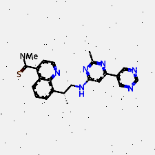 CNC(=S)c1ccnc2c([C@@H](C)CNc3cc(-c4cncnc4)nc(C)n3)cccc12